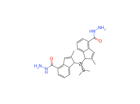 CC1=Cc2c(C(=O)NN)cccc2[CH]1[Zr]([CH]1C(C)=Cc2c(C(=O)NN)cccc21)=[Si](C)C